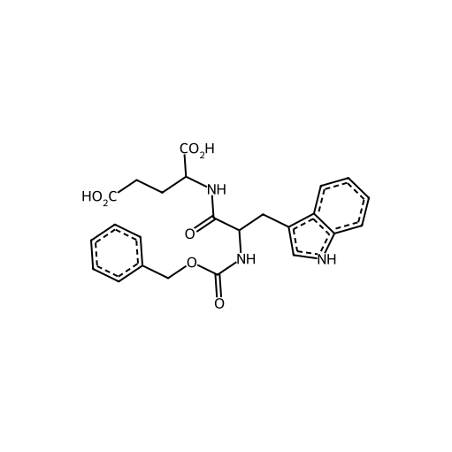 O=C(O)CCC(NC(=O)C(Cc1c[nH]c2ccccc12)NC(=O)OCc1ccccc1)C(=O)O